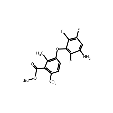 Cc1c(Oc2c(F)c(N)cc(F)c2F)ccc([N+](=O)[O-])c1C(=O)OC(C)(C)C